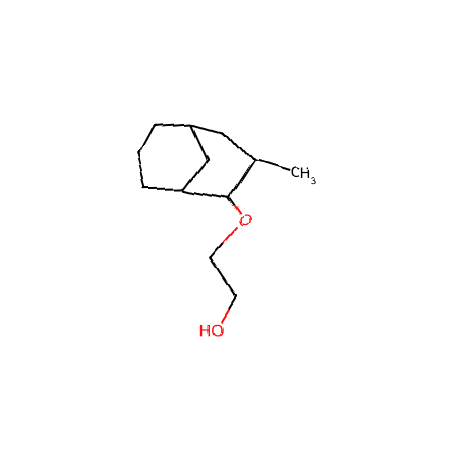 CC1CC2CCCC(C2)C1OCCO